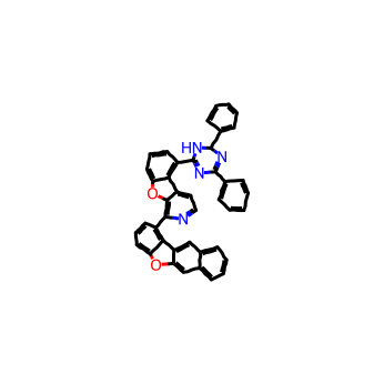 c1ccc(C2=NC(c3ccccc3)NC(c3cccc4oc5c(-c6cccc7oc8cc9ccccc9cc8c67)nccc5c34)=N2)cc1